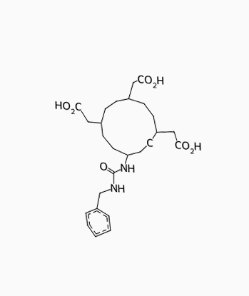 O=C(O)CC1CCC(CC(=O)O)CCC(NC(=O)NCc2ccccc2)CCC(CC(=O)O)CC1